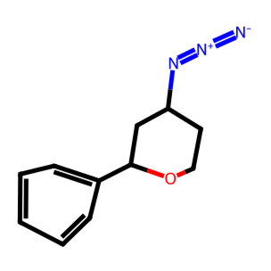 [N-]=[N+]=NC1CCOC(c2ccccc2)C1